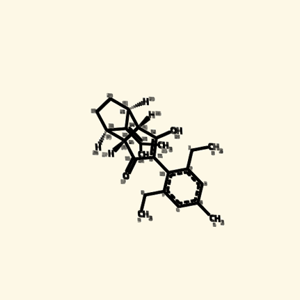 CCc1cc(C)cc(CC)c1C1=C(O)[C@@H]2[C@H](C1=O)[C@H]1CC[C@@H]2C1=C(C)C